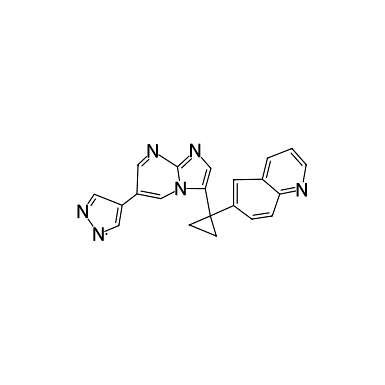 C1=N[N]C=C1c1cnc2ncc(C3(c4ccc5ncccc5c4)CC3)n2c1